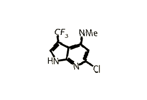 CNc1cc(Cl)nc2[nH]cc(C(F)(F)F)c12